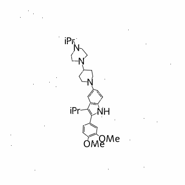 COc1ccc(-c2[nH]c3ccc(N4CCC(N5CCN(C(C)C)CC5)CC4)cc3c2C(C)C)cc1OC